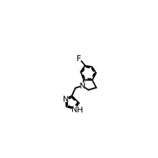 Fc1ccc2c(c1)N(Cc1c[nH]cn1)CC2